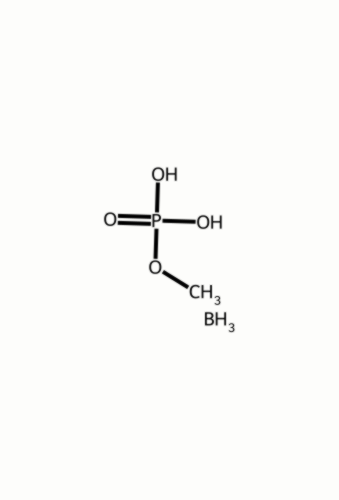 B.COP(=O)(O)O